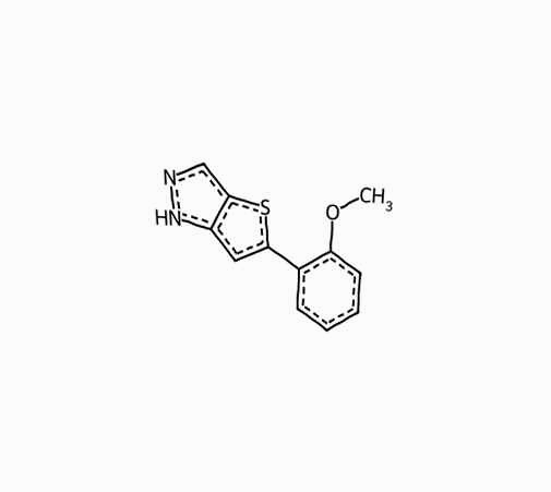 COc1ccccc1-c1cc2[nH]ncc2s1